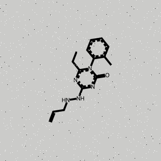 C=CCNNc1nc(CC)n(-c2ccccc2C)c(=O)n1